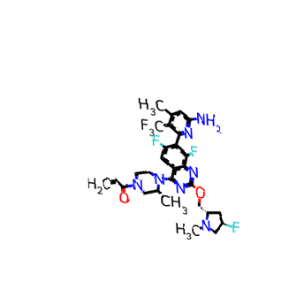 C=CC(=O)N1CCN(c2nc(OC[C@@H]3C[C@@H](F)CN3C)nc3c(F)c(-c4nc(N)cc(C)c4C(F)(F)F)c(F)cc23)C(C)C1